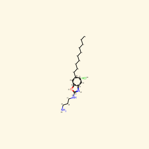 CCCCCCCCCCc1ccc2nc(NCCCN)oc2c1.Cl